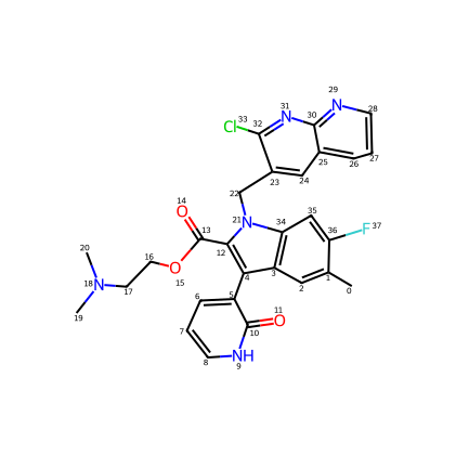 Cc1cc2c(-c3ccc[nH]c3=O)c(C(=O)OCCN(C)C)n(Cc3cc4cccnc4nc3Cl)c2cc1F